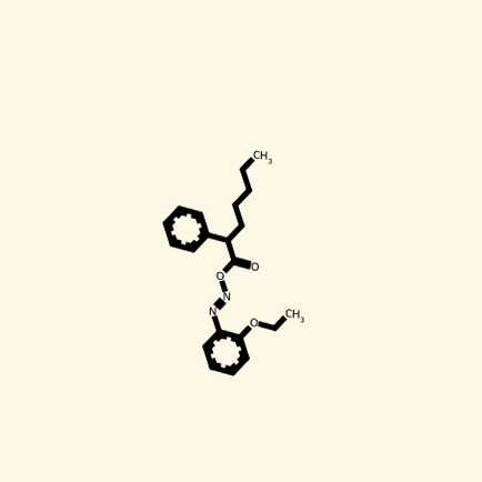 CCCCCC(C(=O)ON=Nc1ccccc1OCC)c1ccccc1